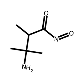 CC(C(=O)N=O)C(C)(C)N